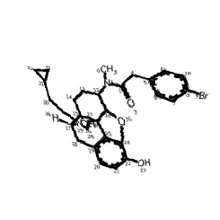 CN(C(=O)Cc1ccc(Br)cc1)C1CC[C@@]2(O)[C@H]3Cc4ccc(O)c5c4[C@@]2(CCN3CC2CC2)C1O5